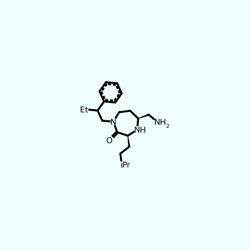 CCC(CN1CC[C@@H](CN)N[C@@H](CCC(C)C)C1=O)c1ccccc1